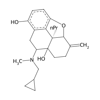 C=C1CCC2(O)C(N(C)CC3CC3)Cc3c(O)ccc4c3[C@@]2(CCC)C1O4